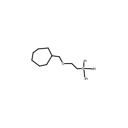 CC(C)[Si](CCOCC1CCCCCC1)(C(C)C)C(C)C